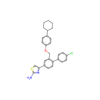 Nc1nc(-c2ccc(-c3ccc(Cl)cc3)c(COc3ccc(C4[CH]CCCC4)cc3)c2)cs1